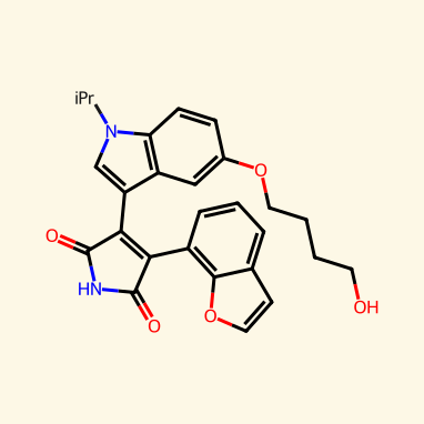 CC(C)n1cc(C2=C(c3cccc4ccoc34)C(=O)NC2=O)c2cc(OCCCCO)ccc21